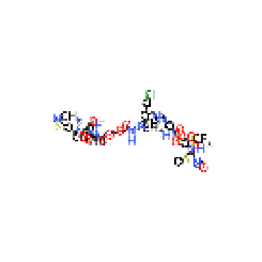 Cc1ncsc1-c1ccc([C@H](C)NC(=O)[C@@H]2C[C@@H](O)CN2C(=O)[C@@H](NC(=O)COCCOCC(=O)NCCN(C)CC2(C)CCC(c3ccc(Cl)cc3)=C(CN3CCN(c4ccc(C(=O)NS(=O)(=O)c5ccc(N[C@H](CCN6CCOCC6)CSc6ccccc6)c(S(=O)(=O)C(F)(F)F)c5)cc4)CC3)C2)C(C)(C)C)cc1